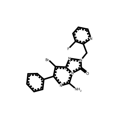 Nc1nc(-c2ccccc2)c(Br)c2nn(Cc3ncccc3F)c(=O)n12